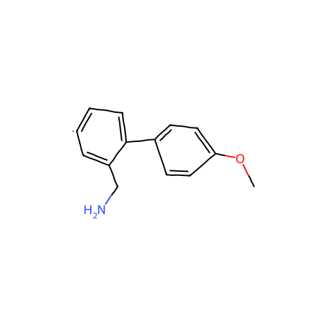 COc1ccc(-c2cc[c]cc2CN)cc1